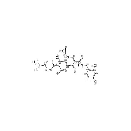 CC(=O)N1CCN(c2c(F)cc3c(=O)c(C(=O)NCc4ccc(Cl)cc4Cl)cn(C4CC4)c3c2Cl)CC1